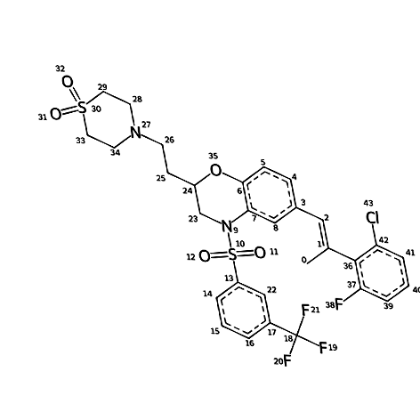 CC(=Cc1ccc2c(c1)N(S(=O)(=O)c1cccc(C(F)(F)F)c1)CC(CCN1CCS(=O)(=O)CC1)O2)c1c(F)cccc1Cl